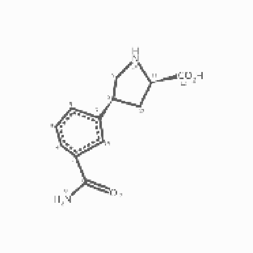 NC(=O)c1cccc([C@H]2CN[C@@H](C(=O)O)C2)c1